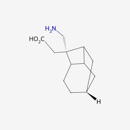 NC[C@@]1(CC(=O)O)C2CC[C@H]3CC2C1C3